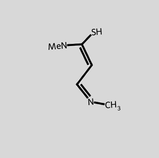 C/N=C\C=C(\S)NC